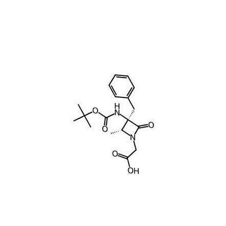 C[C@H]1N(CC(=O)O)C(=O)[C@]1(Cc1ccccc1)NC(=O)OC(C)(C)C